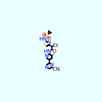 CCC(C(=O)Nc1ncc(-c2cncc(C#N)n2)cc1F)c1csc(NS(=O)(=O)C2CC2)n1